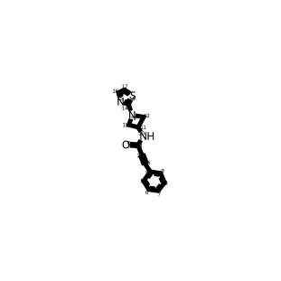 O=C(C#Cc1ccccc1)NC1CN(c2nccs2)C1